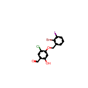 O=Cc1cc(Cl)c(OCc2cccc(I)c2Br)cc1O